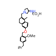 COc1cc(CC(C)C)ccc1COc1ccc2c(c1)CCC(CN1CC[C@@H](NC(=O)O)C1)=C2C